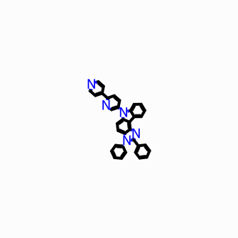 c1ccc(-c2nc3c4c5ccccc5n(-c5ccc(-c6ccncc6)nc5)c4ccc3n2-c2ccccc2)cc1